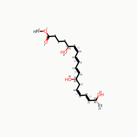 CCCOC(=O)CCC[C@H](O)\C=C/C=C/C=C/[C@H](O)C/C=C\C=C\[C@H](O)CC